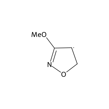 COC1=NOC[CH]1